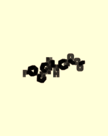 CC(=O)OCC(=O)N1CCC(Nc2cnc3ccc(N4CCC[C@@H]4c4cccc(F)c4)nn23)CC1